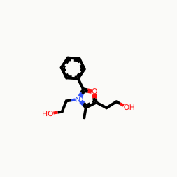 Cc1c(CCO)oc(-c2ccccc2)[n+]1CCO